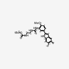 COc1ccc(-c2cc3cc(F)c(F)cc3[nH]2)cc1NC(=S)NCCNC(=O)OC(C)(C)C